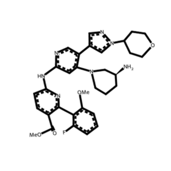 COC(=O)c1ccc(Nc2cc(N3CCC[C@H](N)C3)c(-c3cnn(C4CCOCC4)c3)cn2)nc1-c1c(F)cccc1OC